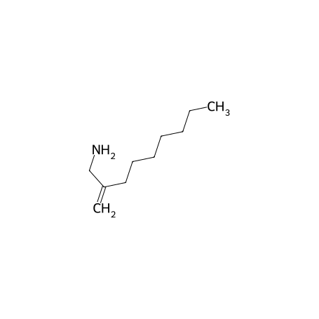 C=C(CN)CCCCCCC